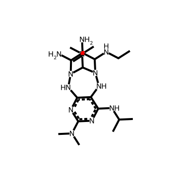 CCNC1C(N)=C(N)N2Nc3nc(N(C)C)nc(NC(C)C)c3NN1C2N(C)C